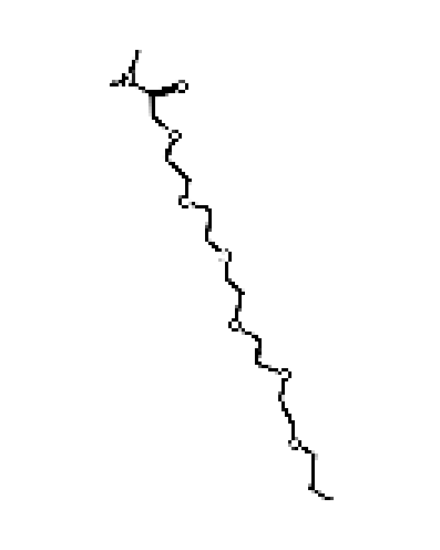 CCCOCCOCCOCCOCCOCCOCC(=O)N(C)C